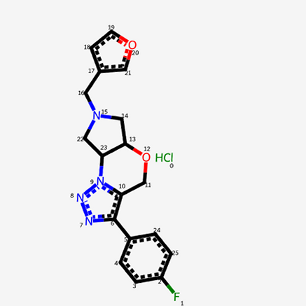 Cl.Fc1ccc(-c2nnn3c2COC2CN(Cc4ccoc4)CC23)cc1